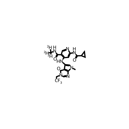 [2H]C([2H])([2H])NC(=O)c1cnc(NC(=O)C2CC2)cc1Nc1cn(C)c2ncn(CC(F)(F)F)c(=O)c12